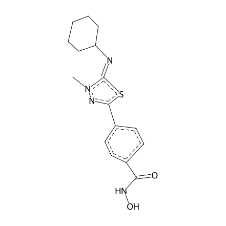 Cn1nc(-c2ccc(C(=O)NO)cc2)s/c1=N/C1CCCCC1